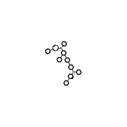 c1c(-c2ccccc2)ccc(N(c2ccccc2)c2ccc(-c3ccc(-c4ccc(N(C5=CC=C(c6ccccc6)C=CC5)c5ccccc5)cc4-c4ccccc4)cc3)cc2)c#1